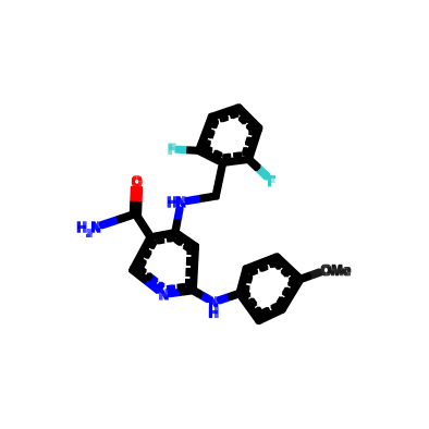 COc1ccc(Nc2cc(NCc3c(F)cccc3F)c(C(N)=O)cn2)cc1